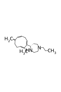 C=C1C=CC/C=C([C@@H]2CCN(CCC)CCN2)\C(C)=C\CC1